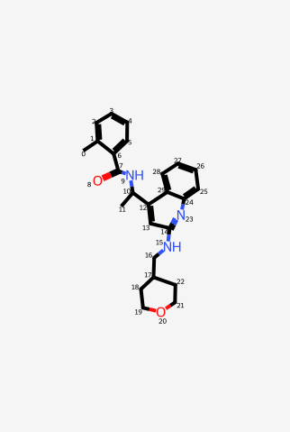 Cc1ccccc1C(=O)NC(C)c1cc(NCC2CCOCC2)nc2ccccc12